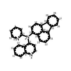 c1ccc(N(c2ccnc3ccccc23)c2ccc3c4c(cccc24)-c2ccccc2-3)nc1